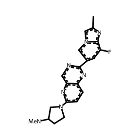 CNC1CCN(c2ccc3nc(-c4cc(F)c5nc(C)cn5c4)ncc3n2)C1